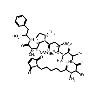 CC[C@H](C)[C@@H]([C@@H](CC(=O)N1[C@@H](C)CC[C@H]1[C@H](OC)[C@@H](C)C(=O)NC(Cc1ccccc1)C(=O)O)OC)N(C)C(=O)C(NC(=O)C(C(C)C)N(C)C(=O)CCCCCN1C(=O)C=CC1=O)C(C)C